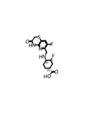 O=C1CSc2cc(F)c(CN[C@@H]3CC[C@@H](C(=O)O)C[C@@H]3F)nc2N1